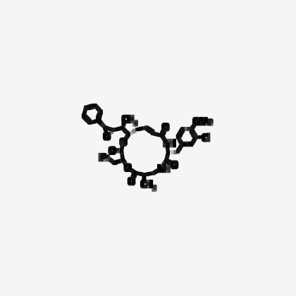 COc1ccc(C[C@H]2NC(=O)/C=C/C[C@@H]([C@H](C)[C@@H]3O[C@H]3c3ccccc3)OC(=O)[C@H](CC(C)C)OC(=O)[C@H](C)CNC2=O)cc1Cl